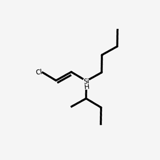 CCCC[SiH](C=CCl)C(C)CC